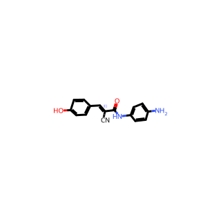 N#C/C(=C\c1ccc(O)cc1)C(=O)Nc1ccc(N)cc1